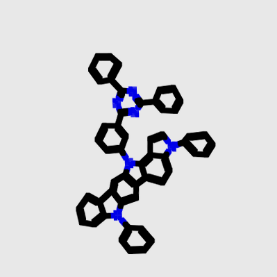 c1ccc(-c2nc(-c3ccccc3)nc(-c3cccc(-n4c5cc6c7ccccc7n(-c7ccccc7)c6cc5c5ccc6c(ccn6-c6ccccc6)c54)c3)n2)cc1